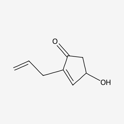 C=CCC1=CC(O)CC1=O